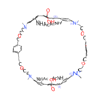 CC(=O)Nc1cc2ccc1C1=C(O)/C(=c3\cc/c(cc3NC(C)=O)=[N+](/C)CCOCc3ccc(cc3)COCC/[N+](C)=c3\cc/c(c(NC(C)=O)c3)=C3/C(=O)C(=C3O)c3ccc(cc3NC(C)=O)N(C)CCOCc3ccc(cc3)COCCN2C)C1=O